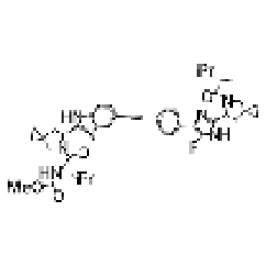 COC(=O)N[C@H](C(=O)N1CC2(CC2)C[C@H]1c1nc2cc(C#Cc3ccc(-c4nc([C@@H]5CC6(CC6)CN5C(=O)[C@@H](C)C(C)C)[nH]c4F)cc3)ccc2[nH]1)C(C)C